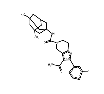 CC12CC3CC(C)(C1)CC(NC(=O)N1CCn4nc(-c5cccc(F)c5)c(C(N)=O)c4C1)(C3)C2